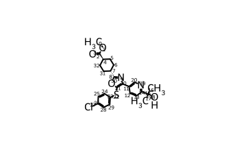 COC(=O)[C@H]1CC[C@H](c2nc(-c3ccc(C(C)(C)O)nc3)c(Sc3ccc(Cl)cc3)o2)CC1